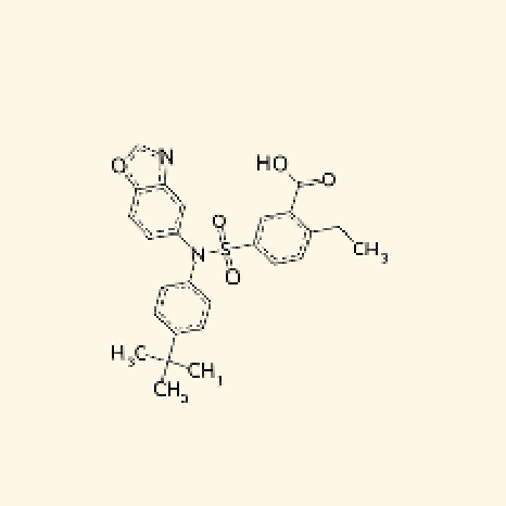 CCc1ccc(S(=O)(=O)N(c2ccc(C(C)(C)C)cc2)c2ccc3ocnc3c2)cc1C(=O)O